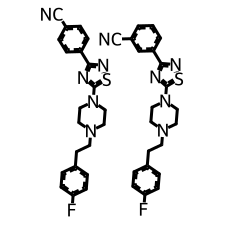 N#Cc1ccc(-c2nsc(N3CCN(CCc4ccc(F)cc4)CC3)n2)cc1.N#Cc1cccc(-c2nsc(N3CCN(CCc4ccc(F)cc4)CC3)n2)c1